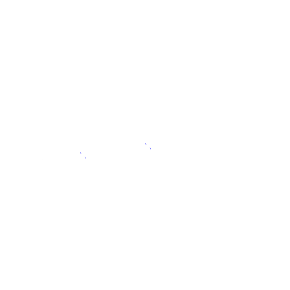 CC(C)N1CCN(c2cc[c]cc2)CC1